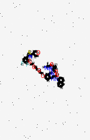 CN[C@@H](C)C(=O)N[C@H](C(=O)N1Cc2cc(OCCOCCOCCOc3c(-c4csc(C5CCOCC5)n4)ccc(F)c3F)ccc2C[C@H]1C(=O)N[C@@H]1CCCc2ccccc21)C(C)(C)C